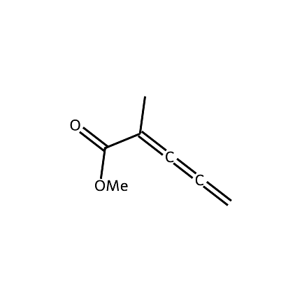 C=C=C=C(C)C(=O)OC